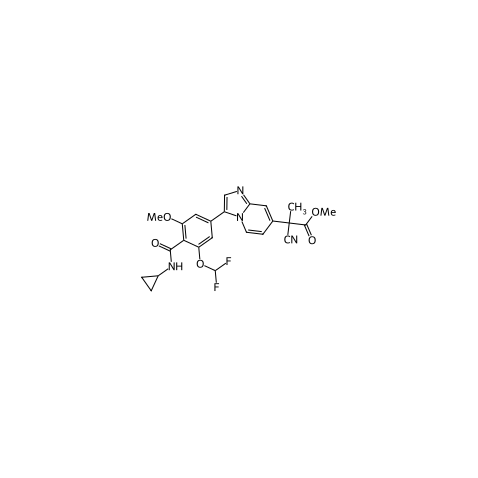 COC(=O)C(C)(C#N)c1ccn2c(-c3cc(OC)c(C(=O)NC4CC4)c(OC(F)F)c3)cnc2c1